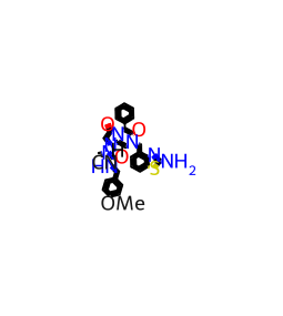 COc1ccc(CNC(=O)N(CC#N)N2CC(=O)N3[C@@H](c4ccccc4)C(=O)N(Cc4cccc5sc(N)nc45)C[C@@H]32)cc1